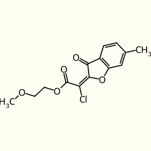 COCCOC(=O)C(Cl)=C1Oc2cc(C)ccc2C1=O